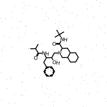 [CH2]C(C)C(=O)NC(Cc1ccccc1)C(O)CN1CC2CCCCC2CC1C(=O)NC(C)(C)C